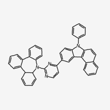 C1=CC2c3ccccc3-c3ccccc3N(c3nccc(-c4ccc5c(c4)c4c6ccccc6ccc4n5-c4ccccc4)n3)C2C=C1